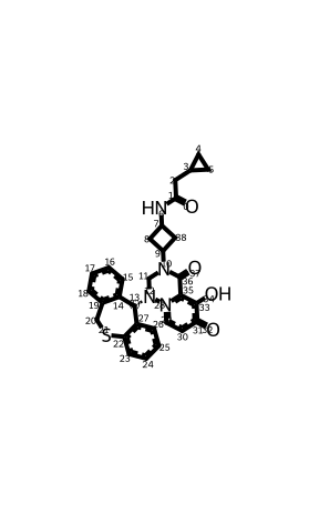 O=C(CC1CC1)NC1CC(N2CN([C@H]3c4ccccc4CSc4ccccc43)n3ccc(=O)c(O)c3C2=O)C1